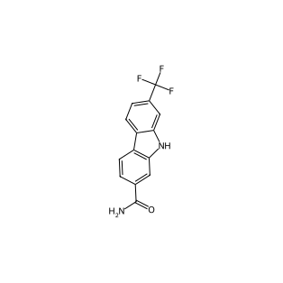 NC(=O)c1ccc2c(c1)[nH]c1cc(C(F)(F)F)ccc12